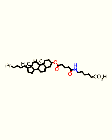 CC(C)CCCCC1CCC2C3CC=C4CC(OC(=O)CCCC(=O)NCCCCCC(=O)O)CCC4(C)C3CCC12C